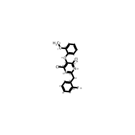 COc1ccccc1Oc1c(Cl)nc(Cc2ccccc2F)nc1Cl